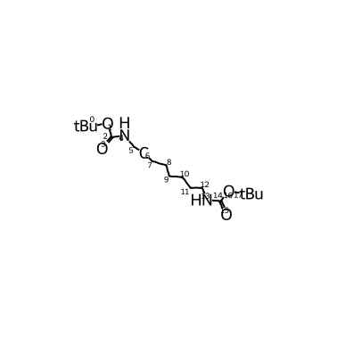 CC(C)(C)OC(=O)NCCCCCCCCNC(=O)OC(C)(C)C